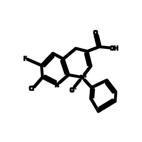 O=C(O)C1=C[N+]([O-])(c2ccccc2)c2nc(Cl)c(F)cc2C1